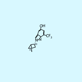 C[C@@]12CC1[C@H](n1cc3cc(O)cc(C(F)(F)F)c3n1)C2